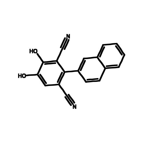 N#Cc1cc(O)c(O)c(C#N)c1-c1ccc2ccccc2c1